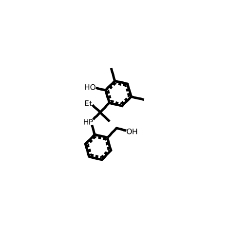 CCC(C)(Pc1ccccc1CO)c1cc(C)cc(C)c1O